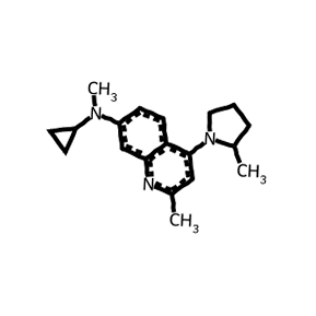 Cc1cc(N2CCCC2C)c2ccc(N(C)C3CC3)cc2n1